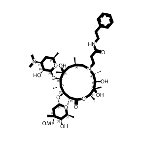 CO[C@]1(C)C[C@H](O[C@H]2[C@H](C)[C@@H](O[C@@H]3O[C@H](C)C[C@H](N(C)C)[C@H]3O)[C@](C)(O)C[C@@H](C)CN(CCC(=O)NCCc3ccccc3)[C@H](C)[C@@H](O)[C@](C)(O)[C@@H](I)OC(=O)[C@@H]2C)O[C@@H](C)[C@@H]1O